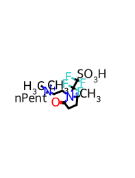 CCCCC[N+](C)(C)CC[N+]1(C(F)(F)C(F)(F)S(=O)(=O)O)C(=O)CCC1C